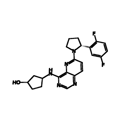 OC1CCC(Nc2ncnc3ccc(N4CCC[C@@H]4c4cc(F)ccc4F)nc23)C1